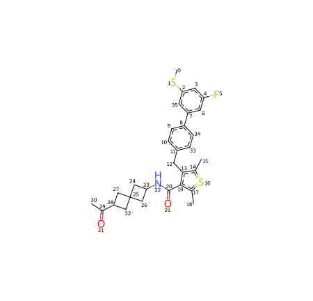 CSc1cc(F)cc(-c2ccc(Cc3c(C)sc(C)c3C(=O)NC3CC4(C3)CC(C(C)=O)C4)cc2)c1